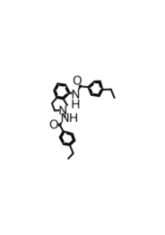 CCc1ccc(C(=O)Nc2cccc3c2CN(NC(=O)c2ccc(CC)cc2)CC3)cc1